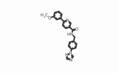 COc1cccc(-c2ccc(C(=O)NCc3ccc(-n4cncn4)cc3)cn2)c1